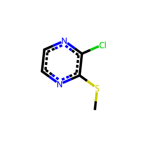 CSc1nccnc1Cl